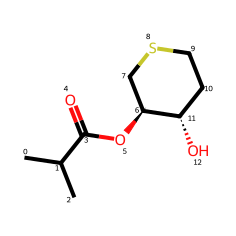 CC(C)C(=O)O[C@H]1CSCC[C@@H]1O